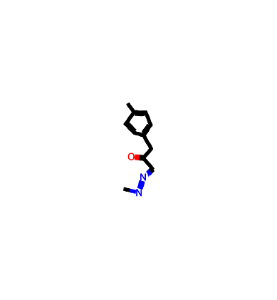 CN=[N+]=CC(=O)Cc1ccc(C)cc1